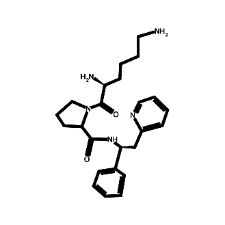 NCCCC[C@H](N)C(=O)N1CCCC1C(=O)N[C@@H](Cc1ccccn1)c1ccccc1